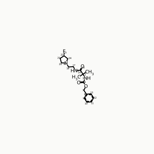 CC(C)(NC(=O)OCc1ccccc1)C(=O)NCCN1CC[C@@H](F)C1